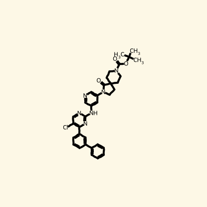 CC(C)(C)OC(=O)N1CCC2(CC1)CCN(c1cncc(Nc3ncc(Cl)c(-c4cccc(-c5ccccc5)c4)n3)c1)C2=O